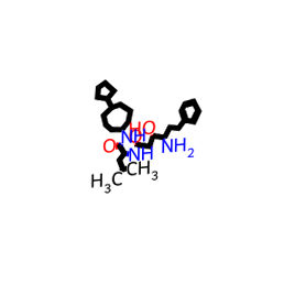 CC(C)CC(NC(=O)CC(O)C(N)CCc1ccccc1)C(=O)NC1CCCC(C2CCCC2)CCC1